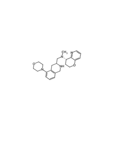 CN(CC1Cc2c(cccc2N2CCOCC2)CN1)[C@H]1CCOc2cccnc21